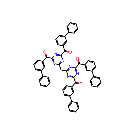 O=C(c1cccc(-c2ccccc2)c1)c1nc(Cc2nc(C(=O)c3cccc(-c4ccccc4)c3)nc(C(=O)c3cccc(-c4ccccc4)c3)n2)nc(C(=O)c2cccc(-c3ccccc3)c2)n1